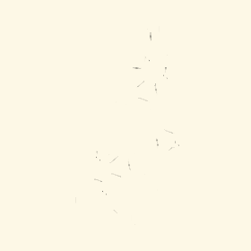 C=Nc1cc(OCc2cncc(COc3cc4c(cc3OC)C(=O)N3CC(=C)C[C@H]3C=N4)c2)c(OC)cc1C(=O)N1CC(=C)C[C@H]1C